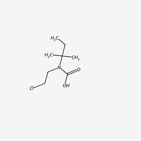 CCC(C)(C)N(CCCl)C(=O)O